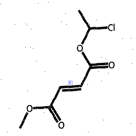 COC(=O)/C=C/C(=O)OC(C)Cl